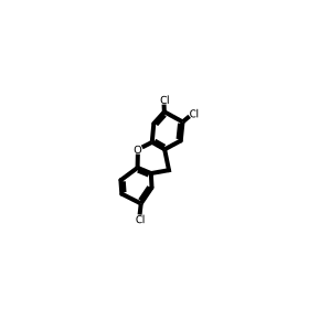 Clc1ccc2c(c1)Cc1cc(Cl)c(Cl)cc1O2